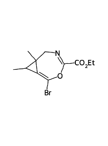 CCOC(=O)C1=NCC2(C)C(=C(Br)O1)C2C